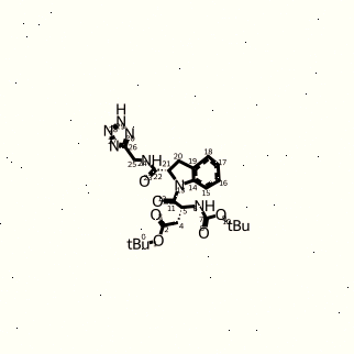 CC(C)(C)OC(=O)C[C@@H](NC(=O)OC(C)(C)C)C(=O)N1c2ccccc2C[C@H]1C(=O)NCc1nn[nH]n1